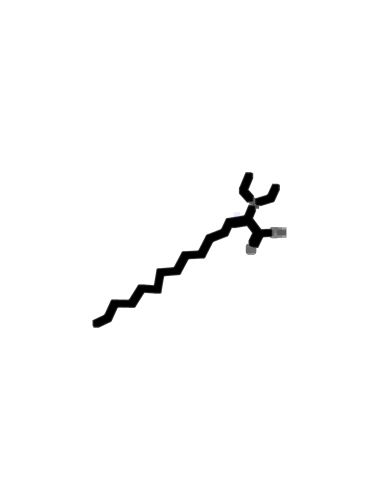 CCCCCCCCCCCC/C=C(\C(=O)O)N(CC)CC